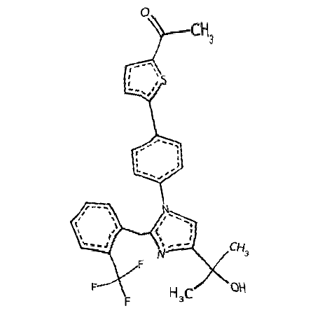 CC(=O)c1ccc(-c2ccc(-n3cc(C(C)(C)O)nc3-c3ccccc3C(F)(F)F)cc2)s1